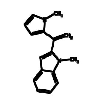 C=C(c1cccn1C)c1cc2ccccc2n1C